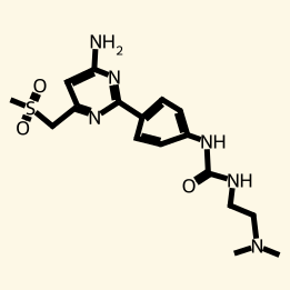 CN(C)CCNC(=O)Nc1ccc(-c2nc(N)cc(CS(C)(=O)=O)n2)cc1